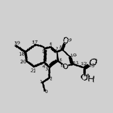 CCCc1c2c(cc3c(=O)cc(C(=O)O)oc13)CC(C)CC2